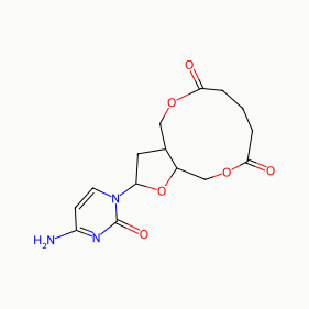 Nc1ccn(C2CC3COC(=O)CCCC(=O)OCC3O2)c(=O)n1